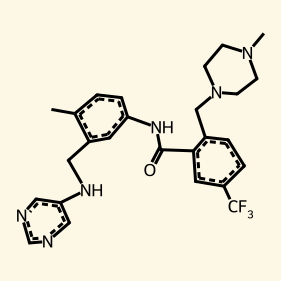 Cc1ccc(NC(=O)c2cc(C(F)(F)F)ccc2CN2CCN(C)CC2)cc1CNc1cncnc1